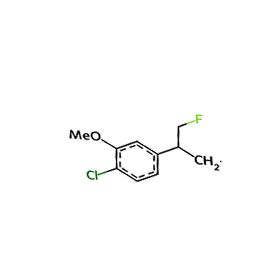 [CH2]C(CF)c1ccc(Cl)c(OC)c1